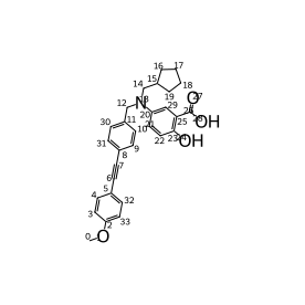 COc1ccc(C#Cc2ccc(CN(CC3CCCC3)c3ccc(O)c(C(=O)O)c3)cc2)cc1